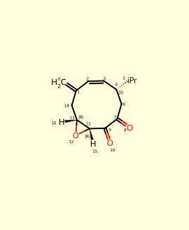 C=C1C=C[C@H](C(C)C)CC(=O)C(=O)[C@@H]2O[C@@H]2C1